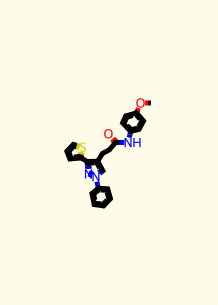 COc1ccc(NC(=O)CCc2cn(-c3ccccc3)nc2-c2cccs2)cc1